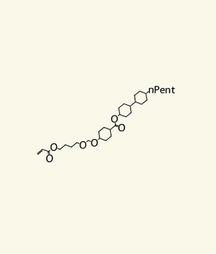 C=CC(=O)OCCCCOCOC1CCC(C(=O)OC2CCC(C3CCC(CCCCC)CC3)CC2)CC1